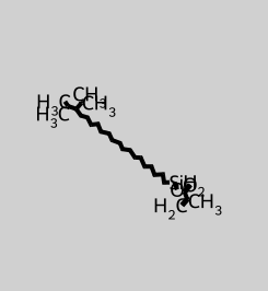 C=C(C)C(=O)O[SiH2]CCCCCCCCCCCCCCCCCC(C(C)C)C(C)C